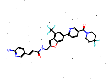 Nc1ccc(/C=C/C(=O)NCc2cc3c(C(F)(F)F)cc(-c4ccc(C(=O)N5CCC(F)(F)CC5)cn4)cc3o2)cn1